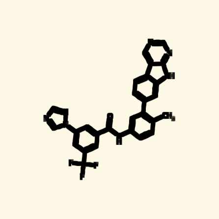 Cc1ccc(NC(=O)c2cc(-n3cncn3)cc(C(F)(F)F)c2)cc1-c1ccc2c(c1)[nH]c1ncncc12